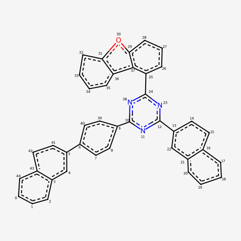 c1ccc2cc(-c3ccc(-c4nc(-c5ccc6ccccc6c5)nc(-c5cccc6oc7ccccc7c56)n4)cc3)ccc2c1